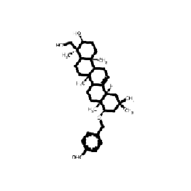 CC1(C)C[C@@H](OCc2ccc(C=O)cc2)[C@]2(C)CCC3C(=CCC4[C@@]3(C)CCC3[C@]4(C)CC[C@H](O)[C@]3(C)CO)[C@@H]2C1